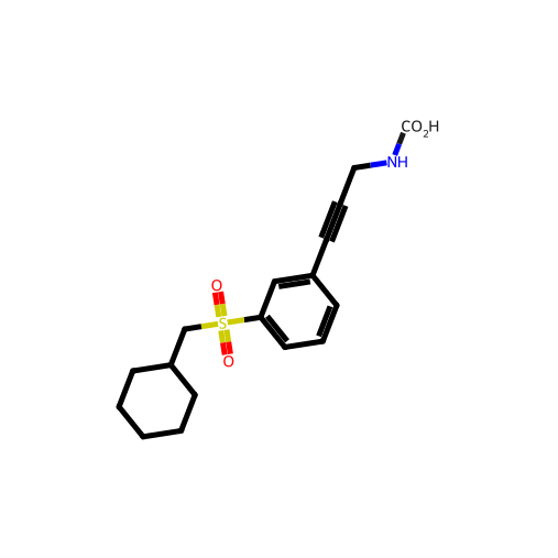 O=C(O)NCC#Cc1cccc(S(=O)(=O)CC2CCCCC2)c1